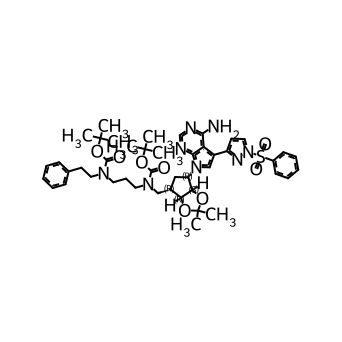 CC(C)(C)OC(=O)N(CCCN(C[C@H]1C[C@@H](n2cc(-c3ccn(S(=O)(=O)c4ccccc4)n3)c3c(N)ncnc32)[C@@H]2OC(C)(C)O[C@H]12)C(=O)OC(C)(C)C)CCc1ccccc1